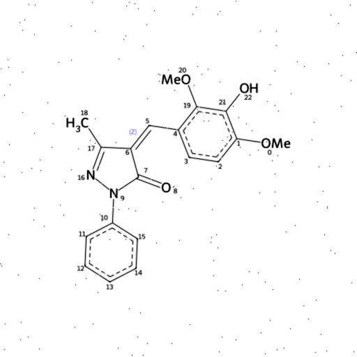 COc1ccc(/C=C2\C(=O)N(c3ccccc3)N=C2C)c(OC)c1O